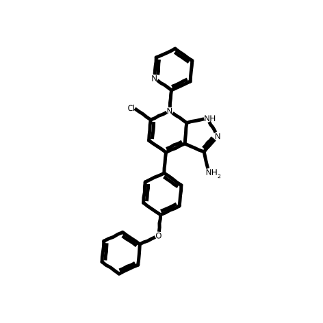 NC1=NNC2C1=C(c1ccc(Oc3ccccc3)cc1)C=C(Cl)N2c1ccccn1